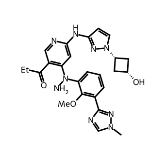 CCC(=O)c1cnc(Nc2ccn([C@H]3C[C@@H](O)C3)n2)cc1N(N)c1cccc(-c2ncn(C)n2)c1OC